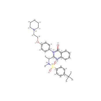 CC(c1nc2ccccc2c(=O)n1-c1ccc(OCCN2CCCCC2)cc1)N(C)S(=O)(=O)c1ccc(C(C)(C)C)cc1